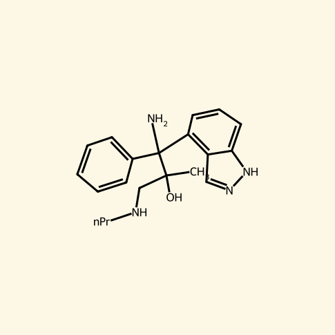 CCCNCC(C)(O)C(N)(c1ccccc1)c1cccc2[nH]ncc12